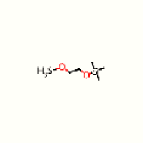 C[Si](C)(C)OCCO[SiH3]